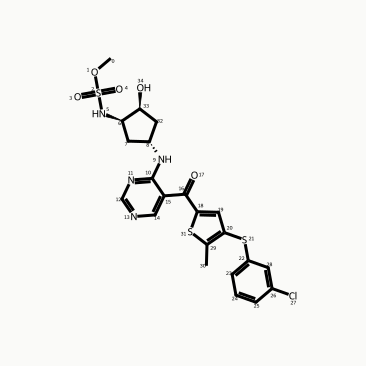 COS(=O)(=O)N[C@@H]1C[C@@H](Nc2ncncc2C(=O)c2cc(Sc3cccc(Cl)c3)c(C)s2)C[C@@H]1O